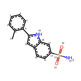 Cc1ccccc1-c1cc2ccc(S(N)(=O)=O)cc2[nH]1